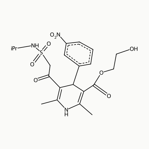 CC1=C(C(=O)CS(=O)(=O)NC(C)C)C(c2cccc([N+](=O)[O-])c2)C(C(=O)OCCO)=C(C)N1